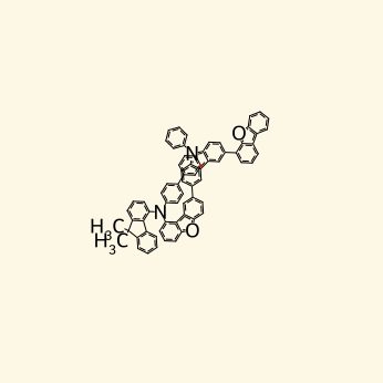 CC1(C)c2ccccc2-c2c(N(c3ccc(-c4ccccc4)cc3)c3cccc4oc5ccc(-c6ccc7c(c6)c6cc(-c8cccc9c8oc8ccccc89)ccc6n7-c6ccccc6)cc5c34)cccc21